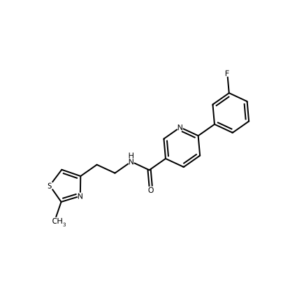 Cc1nc(CCNC(=O)c2ccc(-c3cccc(F)c3)nc2)cs1